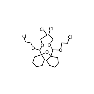 ClCCOC(OCCCl)C1(OC2(C(OCCCl)OCCCl)CCCCC2)CCCCC1